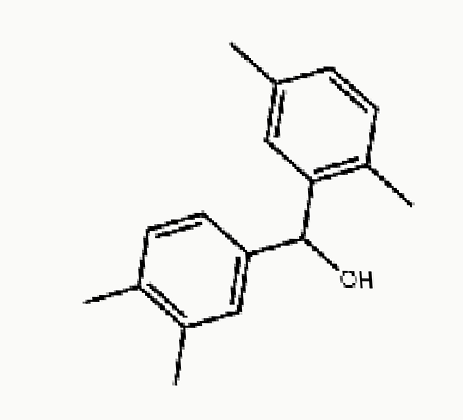 Cc1ccc(C)c(C(O)c2ccc(C)c(C)c2)c1